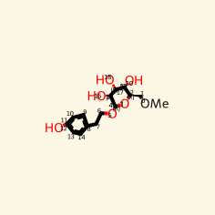 COC[C@H]1O[C@@H](OCCc2ccc(O)cc2)[C@H](O)[C@@H](O)[C@@H]1O